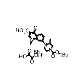 B.CC1CN(C(=O)OC(C)(C)C)CCN1c1ccc2c(=O)c(C(=O)O)cn(F)c2c1.O=C(O)C(=O)O